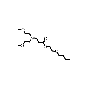 CCCCOCCOC(=O)CCN(CCOC)CCOC